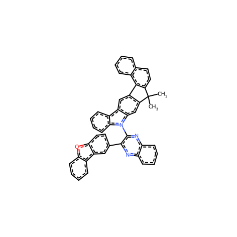 CC1(C)c2cc3c(cc2-c2c1ccc1ccccc21)c1ccccc1n3-c1nc2ccccc2nc1-c1ccc2oc3ccccc3c2c1